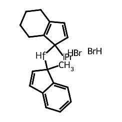 Br.Br.CC(C)[C]1([Hf][C]2(C)C=Cc3ccccc32)C=CC2=C1CCCC2